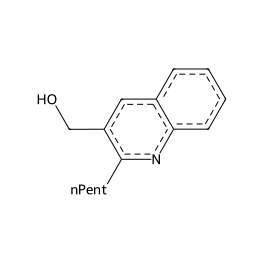 CCCCCc1nc2ccccc2cc1CO